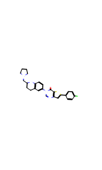 O=c1c2sc(-c3ccc(Cl)cc3)cc2ncn1-c1ccc2c(c1)CCC(CN1CCCC1)N2